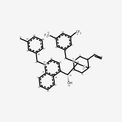 C=CC1C[N+]2(Cc3cc(C(F)(F)F)cc(C(F)(F)F)c3)CCC1CC2[C@H](O)c1cc[n+](Cc2cccc(C)c2)c2ccccc12